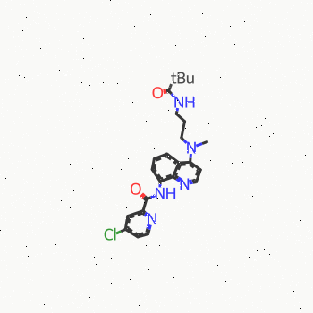 CN(CCCNC(=O)C(C)(C)C)c1ccnc2c(NC(=O)c3cc(Cl)ccn3)cccc12